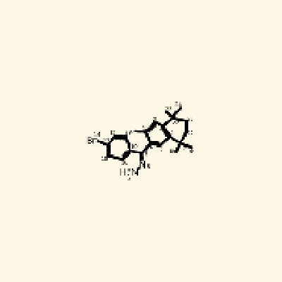 Cc1cc2c(cc1/C(=N/N)c1ccc(Br)cc1)C(C)(C)CCC2(C)C